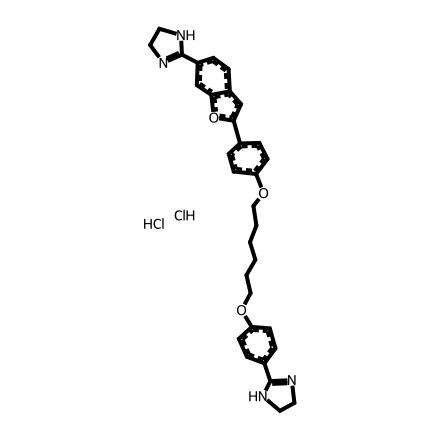 Cl.Cl.c1cc(C2=NCCN2)ccc1OCCCCCCOc1ccc(-c2cc3ccc(C4=NCCN4)cc3o2)cc1